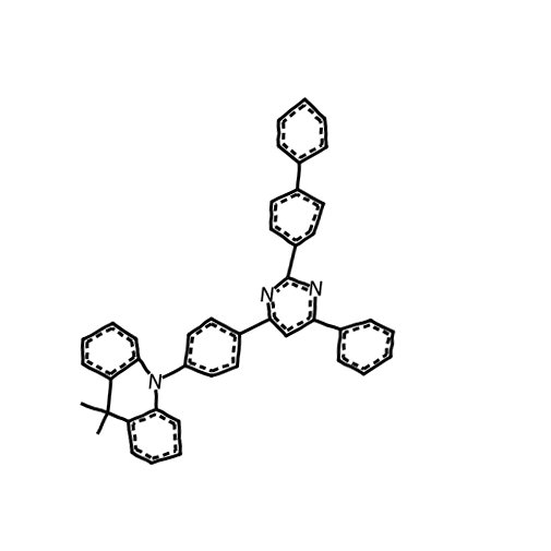 CC1(C)c2ccccc2N(c2ccc(-c3cc(-c4ccccc4)nc(-c4ccc(-c5ccccc5)cc4)n3)cc2)c2ccccc21